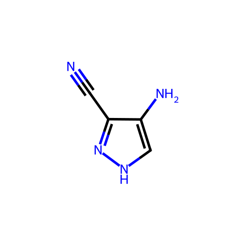 N#Cc1n[nH]cc1N